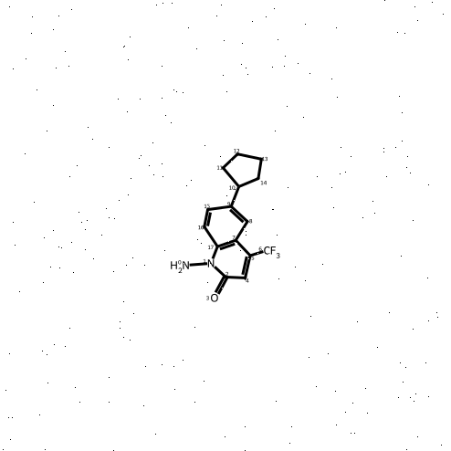 Nn1c(=O)cc(C(F)(F)F)c2cc(C3CCCC3)ccc21